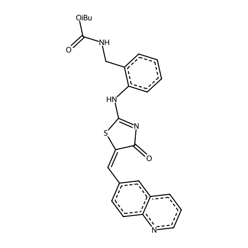 CC(C)COC(=O)NCc1ccccc1NC1=NC(=O)C(=Cc2ccc3ncccc3c2)S1